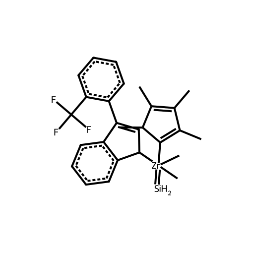 CC1=C(C)C(C)[C]([Zr]([CH3])([CH3])(=[SiH2])[CH]2C=C(c3ccccc3C(F)(F)F)c3ccccc32)=C1C